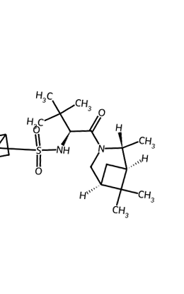 C[C@@H]1[C@@H]2C[C@H](CN1C(=O)[C@@H](NS(=O)(=O)N1CC3CC1C3)C(C)(C)C)C2(C)C